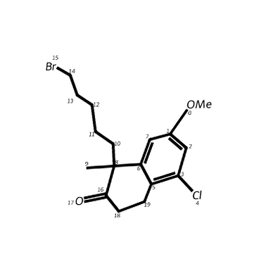 COc1cc(Cl)c2c(c1)C(C)(CCCCCBr)C(=O)CC2